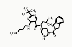 COCCCNc1nc(C(C)(C)C)ncc1C(=O)N(CC(C)C)[C@@H]1CNC[C@H](C(=O)N2Cc3ccccc3C2)C1